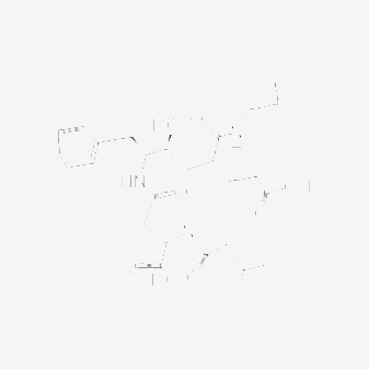 CC(C)CNC(=O)[C@H](CCC(=O)O)C[C@H](O)[C@H](Cc1ccccc1)NC(=O)CC(NC(=O)CC(C)C)C(=O)O